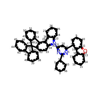 c1ccc(-c2nc(-c3cccc4oc5ccccc5c34)cc(-n3c4ccccc4c4c5c(ccc43)C3(c4ccccc4-c4ccccc43)c3ccccc3-5)n2)cc1